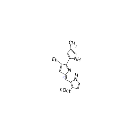 CCCCCCCCc1cc[nH]c1/C=C1/C=C(CC)C(c2cc(C)c[nH]2)=N1